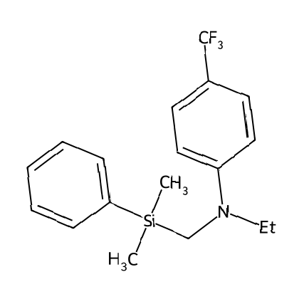 CCN(C[Si](C)(C)c1ccccc1)c1ccc(C(F)(F)F)cc1